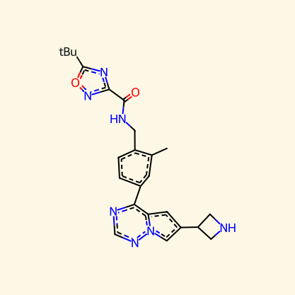 Cc1cc(-c2ncnn3cc(C4CNC4)cc23)ccc1CNC(=O)c1noc(C(C)(C)C)n1